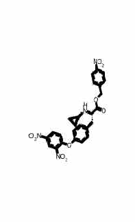 O=C(OCc1ccc([N+](=O)[O-])cc1)[C@H](Cc1ccc(Oc2ccc([N+](=O)[O-])cc2[N+](=O)[O-])cc1)NC1CC1